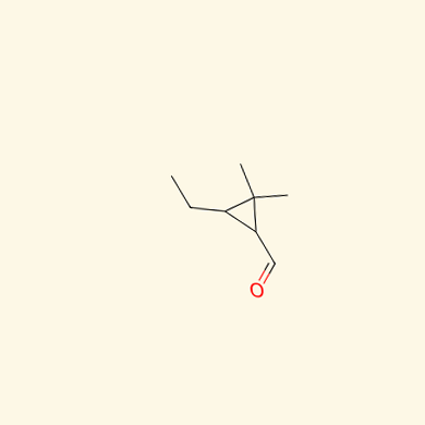 CCC1C(C=O)C1(C)C